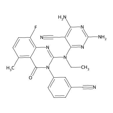 CCN(c1nc(N)nc(N)c1C#N)c1nc2c(F)ccc(C)c2c(=O)n1-c1cccc(C#N)c1